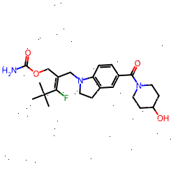 CC(C)(C)C(F)=C(COC(N)=O)CN1CCc2cc(C(=O)N3CCC(O)CC3)ccc21